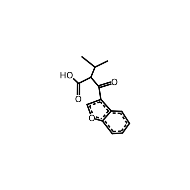 CC(C)C(C(=O)O)C(=O)c1coc2ccccc12